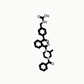 CC1CN(C(=O)c2ccccc2)CCN1c1nnc(-c2ccc(CNC(=O)O)cc2)c2ccccc12